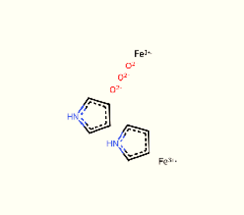 [Fe+3].[Fe+3].[O-2].[O-2].[O-2].c1cc[nH]c1.c1cc[nH]c1